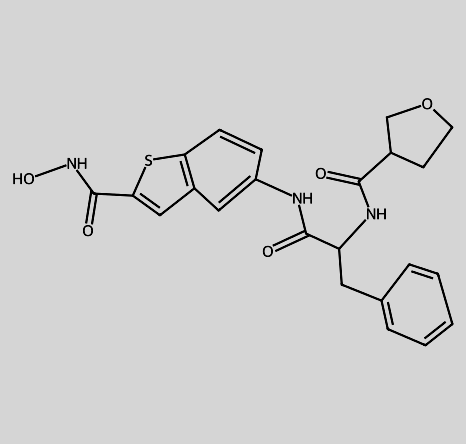 O=C(NO)c1cc2cc(NC(=O)C(Cc3ccccc3)NC(=O)C3CCOC3)ccc2s1